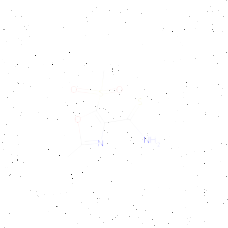 Cc1nc(C(N)=S)c(S(C)(=O)=O)o1